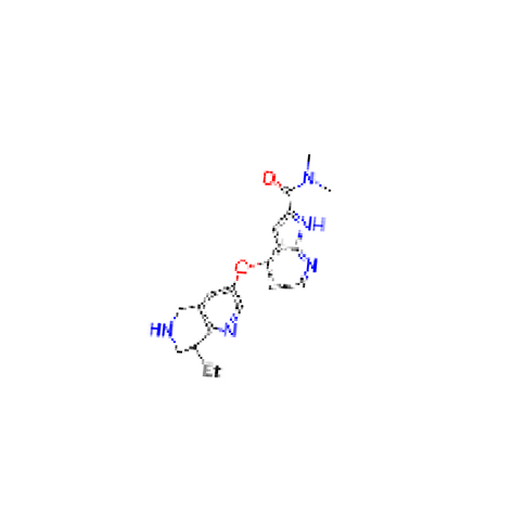 CCC1CNCc2cc(Oc3ccnc4[nH]c(C(=O)N(C)C)cc34)cnc21